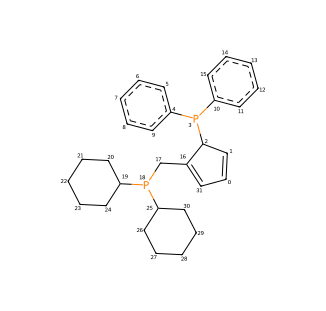 C1=CC(P(c2ccccc2)c2ccccc2)C(CP(C2CCCCC2)C2CCCCC2)=C1